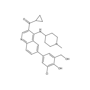 CN1CCC(Nc2c(C(=O)C3CC3)cnc3ccc(-c4cc(Cl)c(O)c(CO)c4)cc23)CC1